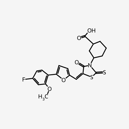 COc1cc(F)ccc1-c1ccc(/C=C2/SC(=S)N(C3CCCC(C(=O)O)C3)C2=O)o1